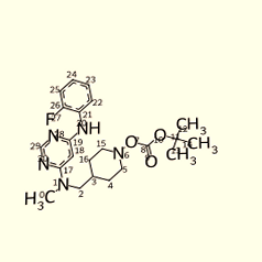 CN(CC1CCN(OC(=O)OC(C)(C)C)CC1)c1cc(Nc2ccccc2F)ncn1